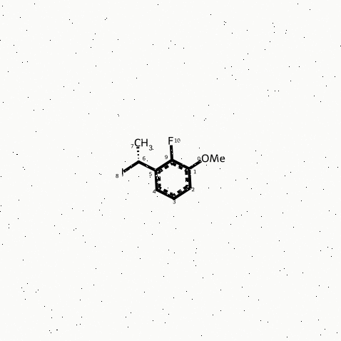 COc1cccc([C@@H](C)I)c1F